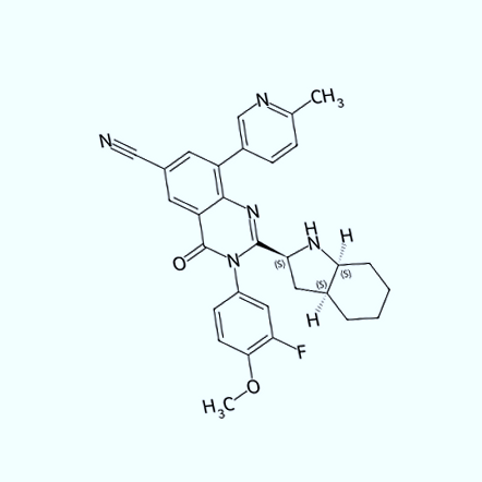 COc1ccc(-n2c([C@@H]3C[C@@H]4CCCC[C@@H]4N3)nc3c(-c4ccc(C)nc4)cc(C#N)cc3c2=O)cc1F